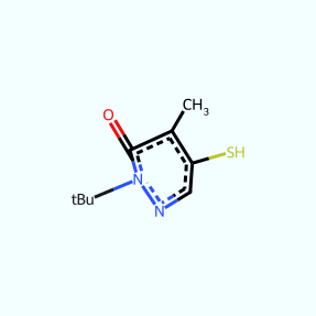 Cc1c(S)cnn(C(C)(C)C)c1=O